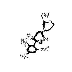 Cc1cc(C)c(-c2nnc(N3CCO[C@H](CO)C3)cc2C)c(O)c1